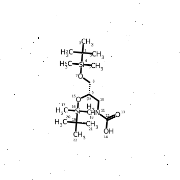 CC(C)(C)[Si](C)(C)OC[C@H](CNC(=O)O)O[Si](C)(C)C(C)(C)C